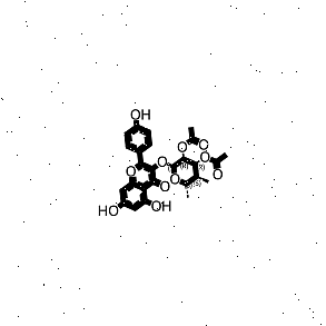 CC(=O)O[C@@H]1[C@@H](C)[C@H](C)O[C@@H](Oc2c(-c3ccc(O)cc3)oc3cc(O)cc(O)c3c2=O)[C@@H]1OC(C)=O